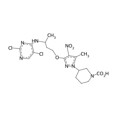 Cc1c([N+](=O)[O-])c(OCCC(C)Nc2nc(Cl)ncc2Cl)nn1C1CCCN(C(=O)O)C1